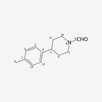 Cc1ccc(C2CCN(C=O)CC2)cc1